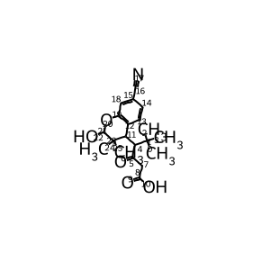 CC(C)(C)C(C(=O)CC(=O)O)C1c2ccc(C#N)cc2OC(O)C1(C)C